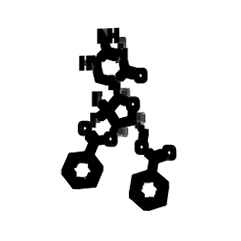 NC1=NC(=O)N([C@@H]2O[C@H](COC(=O)c3ccccc3)[C@@H](OC(=O)c3ccccc3)C2(F)F)CN1